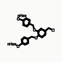 CCCCCCOc1ccc(COc2ccc(CCl)cc2OCc2ccc(OCCCCCC)cc2)cc1